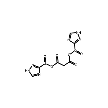 O=C(CC(=O)OS(=O)c1nc[nH]n1)OS(=O)c1nc[nH]n1